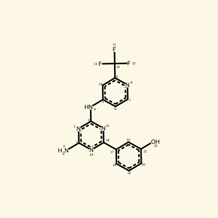 Nc1nc(Nc2ccnc(C(F)(F)F)c2)nc(-c2cccc(O)c2)n1